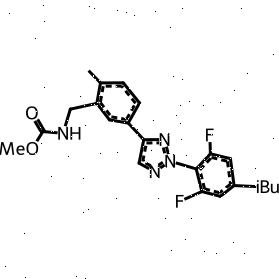 CCC(C)c1cc(F)c(-n2ncc(-c3ccc(C)c(CNC(=O)OC)c3)n2)c(F)c1